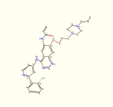 C=CC(=O)Nc1cc2c(Nc3ccnc(-c4ccccc4F)c3)ncnc2cc1OCCCN1CCN(CCC)CC1